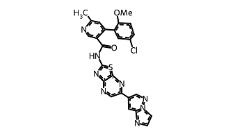 COc1ccc(Cl)cc1-c1cc(C)ncc1C(=O)Nc1nc2ncc(-c3cnn4ccnc4c3)nc2s1